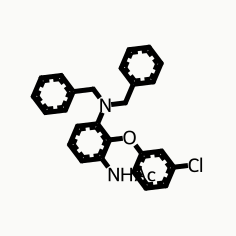 CC(=O)Nc1cccc(N(Cc2ccccc2)Cc2ccccc2)c1Oc1cccc(Cl)c1